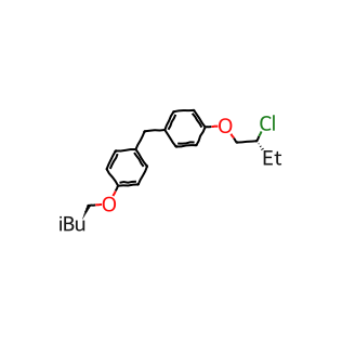 CC[C@H](C)COc1ccc(Cc2ccc(OC[C@H](Cl)CC)cc2)cc1